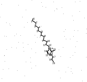 CCCCCCCCCCCCC[n+]1ccn(CCC)c1C